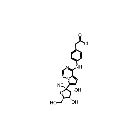 N#C[C@@]1(c2ccc3c(Nc4ccc(CC(=O)Cl)cc4)ncnn23)O[C@H](CO)[C@@H](O)[C@H]1O